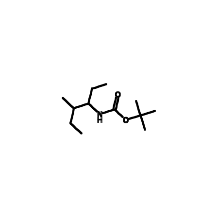 CCC(C)C(CC)NC(=O)OC(C)(C)C